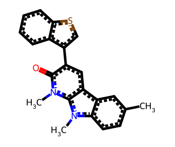 Cc1ccc2c(c1)c1cc(-c3csc4ccccc34)c(=O)n(C)c1n2C